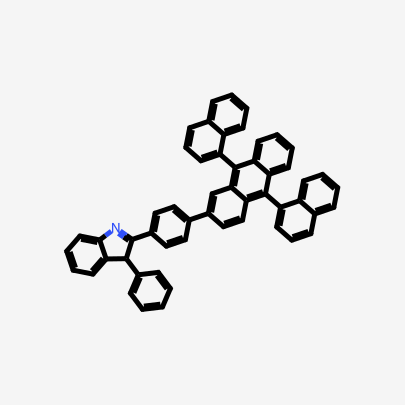 c1ccc(C2C(c3ccc(-c4ccc5c(-c6cccc7ccccc67)c6ccccc6c(-c6cccc7ccccc67)c5c4)cc3)=Nc3ccccc32)cc1